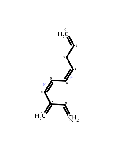 C=CC/C=C\C=C/C(=C)C=C